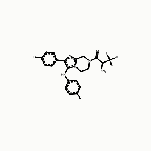 NC(C(=O)N1CCn2c(nc(-c3ccc(F)cc3)c2Nc2ccc(F)cc2)C1)C(F)(F)F